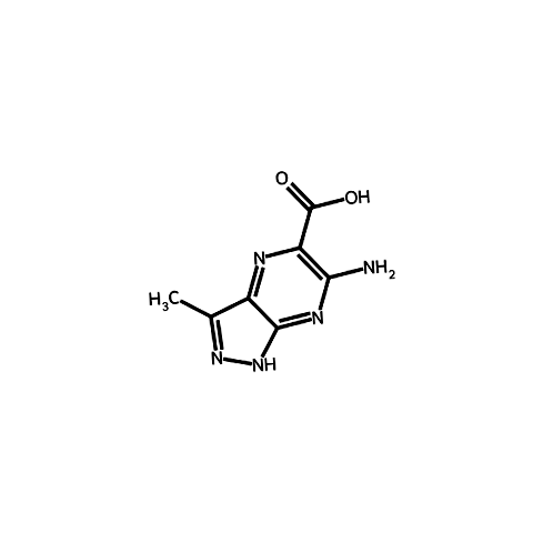 Cc1n[nH]c2nc(N)c(C(=O)O)nc12